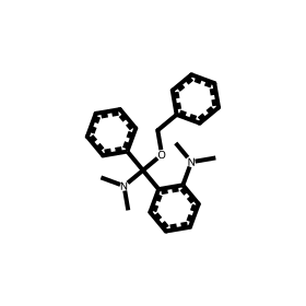 CN(C)c1ccccc1C(OCc1ccccc1)(c1ccccc1)N(C)C